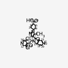 Cc1c(C(=O)N(CC(=O)c2c(Cl)cncc2Cl)Cc2ccc(F)cc2)cnn1[C@H]1CC[C@H](C(=O)O)CC1